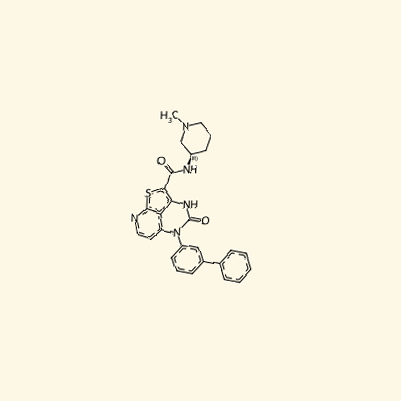 CN1CCC[C@@H](NC(=O)c2sc3nccc4c3c2NC(=O)N4c2cccc(-c3ccccc3)c2)C1